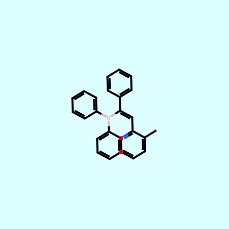 Cc1cccnc1/C=C(\B(c1ccccc1)c1ccccc1)c1ccccc1